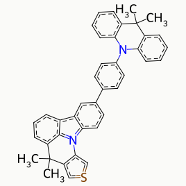 CC1(C)c2ccccc2N(c2ccc(-c3ccc4c(c3)c3cccc5c3n4-c3cscc3C5(C)C)cc2)c2ccccc21